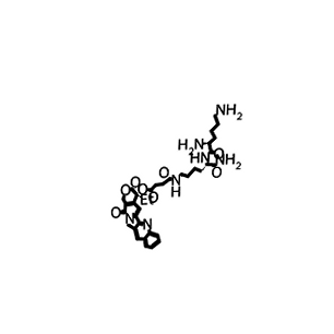 CC[C@@]1(OC(=O)CCC(=O)NCCCC[C@H](NC(=O)[C@@H](N)CCCCN)C(N)=O)C(=O)OCc2c1cc1n(c2=O)Cc2cc3ccccc3nc2-1